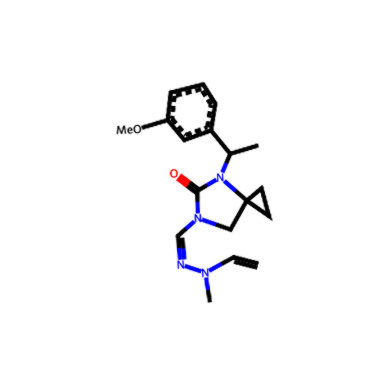 C=CN(C)/N=C\N1CC2(CC2)N(C(C)c2cccc(OC)c2)C1=O